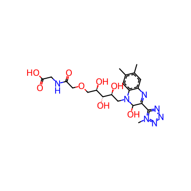 Cc1cc2c(cc1C)N(C[C@H](O)[C@H](O)[C@H](O)COCC(=O)NCC(=O)O)C(O)C(c1nnnn1C)=N2